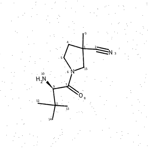 CC1(C#N)CCN(C(=O)[C@H](N)C(C)(C)C)C1